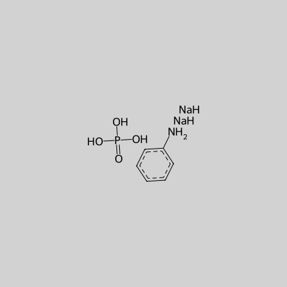 Nc1ccccc1.O=P(O)(O)O.[NaH].[NaH]